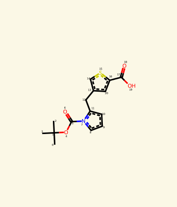 CC(C)(C)OC(=O)n1cccc1Cc1csc(C(=O)O)c1